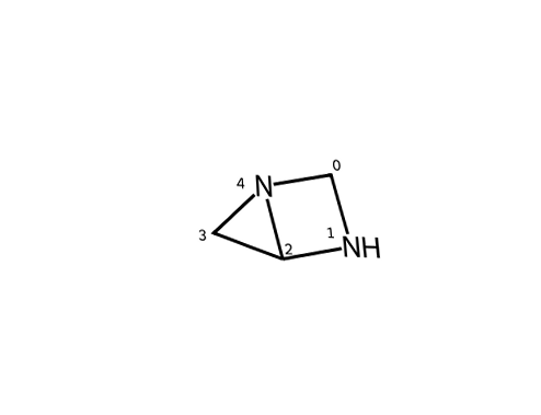 C1NC2CN12